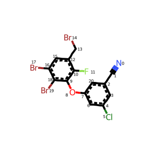 N#Cc1cc(Cl)cc(Oc2c(F)c(CBr)cc(Br)c2Br)c1